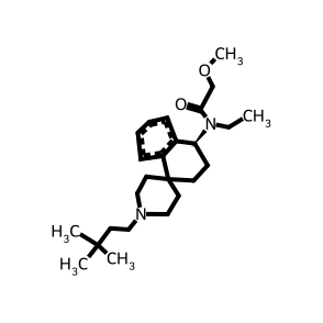 CCN(C(=O)COC)[C@H]1CCC2(CCN(CCC(C)(C)C)CC2)c2ccccc21